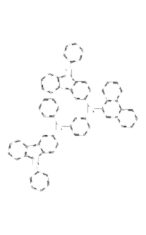 c1ccc(N(c2cccc(N(c3ccc4c(c3)c3ccccc3n4-c3ccccc3)c3cc4ccccc4c4ccccc34)c2)c2ccc3c(c2)c2ccccc2n3-c2ccccc2)cc1